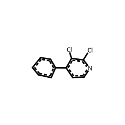 Clc1nccc(-c2ccccc2)c1Cl